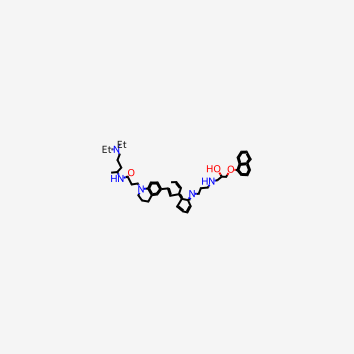 C\C=C/C(C=Cc1ccc2c(c1)CCCN2CCC(=O)NC(C)CCCN(CC)CC)=C1/C=CC=C/C1=N\CCCNCC(O)COc1cccc2ccccc12